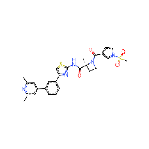 Cc1cc(-c2cccc(-c3csc(NC(=O)[C@]4(C)CCN4C(=O)c4ccn(S(C)(=O)=O)c4)n3)c2)cc(C)n1